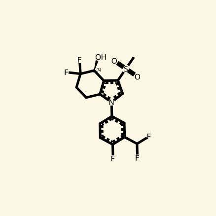 CS(=O)(=O)c1cn(-c2ccc(F)c(C(F)F)c2)c2c1[C@H](O)C(F)(F)CC2